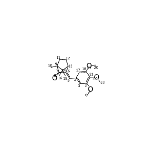 COc1cc(C=C2C(=O)C3(C)CCC2C3(C)C)cc(OC)c1OC